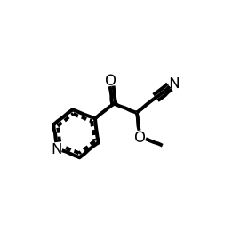 COC(C#N)C(=O)c1ccncc1